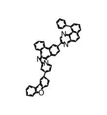 c1ccc(-c2cccc3ccc4nc(-c5ccc6c(c5)c5ccccc5c5nc7cc(-c8ccc9oc%10ccccc%10c9c8)ccn7c65)cnc4c23)cc1